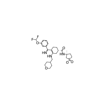 C[C@]1(NC(=O)[C@H]2CCC(C(=N)c3cccc(OC(F)F)c3)=C(NCC3CCOCC3)C2)CCS(=O)(=O)C1